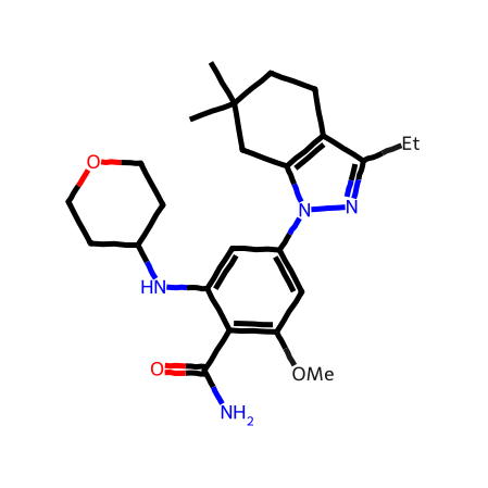 CCc1nn(-c2cc(NC3CCOCC3)c(C(N)=O)c(OC)c2)c2c1CCC(C)(C)C2